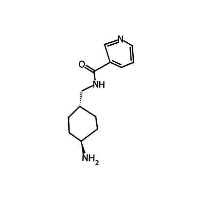 N[C@H]1CC[C@H](CNC(=O)c2cccnc2)CC1